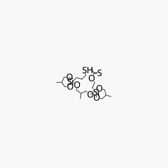 CC(=S)OCC[Si]1(OCC(C)CO[Si]2(CCCS)OCC(C)CO2)OCC(C)CO1